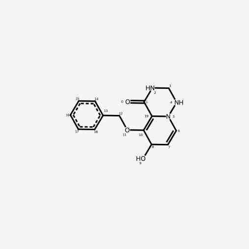 O=C1NCNN2C=CC(O)C(OCc3ccccc3)=C12